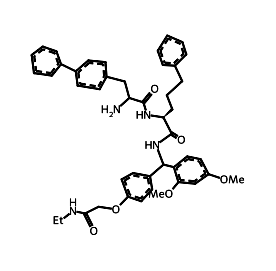 CCNC(=O)COc1ccc(C(NC(=O)[C@H](CCCc2ccccc2)NC(=O)C(N)Cc2ccc(-c3ccccc3)cc2)c2ccc(OC)cc2OC)cc1